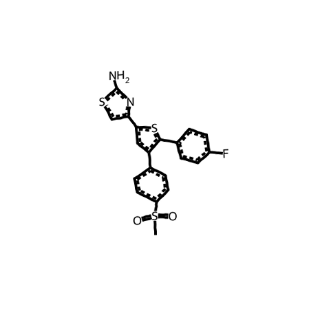 CS(=O)(=O)c1ccc(-c2cc(-c3csc(N)n3)sc2-c2ccc(F)cc2)cc1